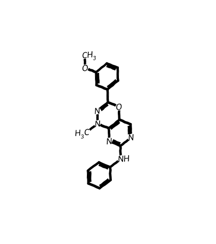 COc1cccc(C2=NN(C)c3nc(Nc4ccccc4)ncc3O2)c1